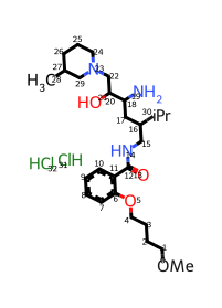 COCCCCOc1ccccc1C(=O)NCC(CC(N)C(O)CN1CCCC(C)C1)C(C)C.Cl.Cl